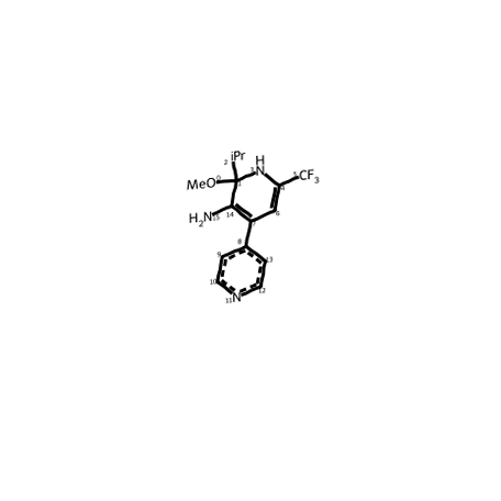 COC1(C(C)C)NC(C(F)(F)F)=CC(c2ccncc2)=C1N